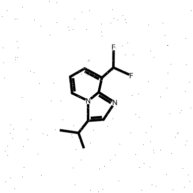 CC(C)c1cnc2c(C(F)F)cccn12